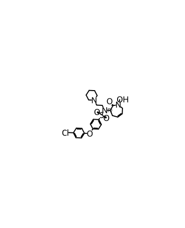 O=C1[C@H](N(CCN2CCCCC2)S(=O)(=O)c2ccc(Oc3ccc(Cl)cc3)cc2)CC=CCN1O